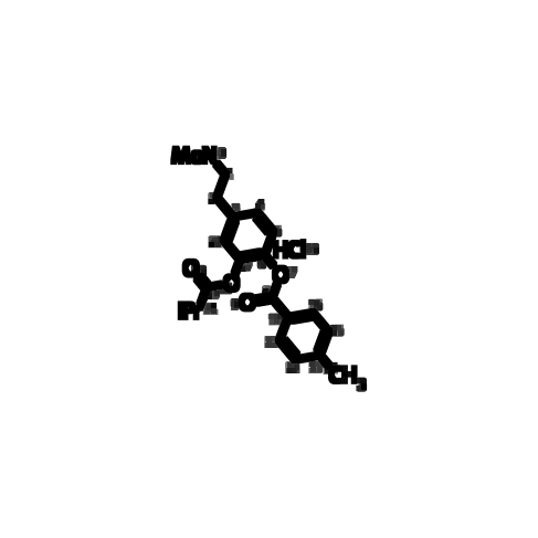 CNCCc1ccc(OC(=O)c2ccc(C)cc2)c(OC(=O)C(C)C)c1.Cl